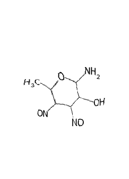 CC1OC(N)C(O)C(N=O)C1N=O